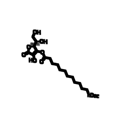 CCCCCCCCCCCCCCCCCCCCCC(=O)OC1=C(O)C(=O)O[C@@H]1[C@@H](O)CO